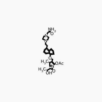 CC(=O)OC1=C(COc2cccc3c(CCN4CCN(CC(N)=O)CC4)cccc23)[C@H](C)C2[C@@H]([C@@H](C)O)C(=O)N12